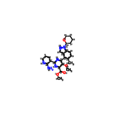 COC(=O)c1nc(-c2cccnc2N)nc(-c2c(C)ccc3c2cnn3C2CCCCO2)c1OC